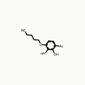 CCCc1c(OCCCCC#N)ccc(C(C)=O)c1O